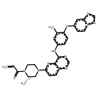 C=CC(=O)N1CCN(c2ccc3ncnc(Nc4ccc(Oc5ccn6ncnc6c5)c(C)c4)c3n2)C[C@@H]1C